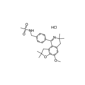 COc1cc2c(c3c1OC(C)(C)C3)C(c1ccc(CNS(C)(=O)=O)cc1)=NC(C)(C)C2.Cl